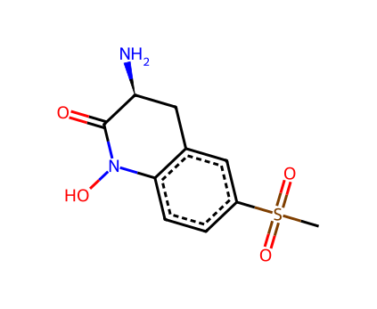 CS(=O)(=O)c1ccc2c(c1)C[C@H](N)C(=O)N2O